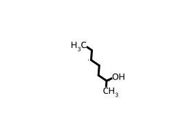 CC[CH]CC[C](C)O